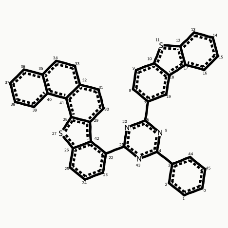 c1ccc(-c2nc(-c3ccc4sc5ccccc5c4c3)nc(-c3cccc4sc5c(ccc6ccc7ccccc7c65)c34)n2)cc1